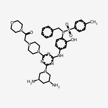 Cc1ccc(S(=O)(=O)N(Cc2ccccc2)c2ccc(Nc3nc(N4CCN(CC(=O)N5CCOCC5)CC4)nc(N4C[C@H](N)C[C@H](N)C4)n3)cc2O)cc1